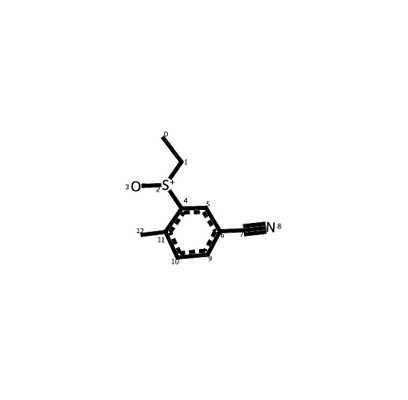 CC[S+]([O-])c1cc(C#N)ccc1C